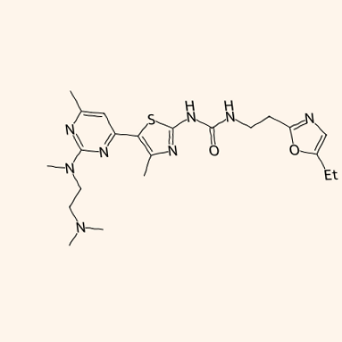 CCc1cnc(CCNC(=O)Nc2nc(C)c(-c3cc(C)nc(N(C)CCN(C)C)n3)s2)o1